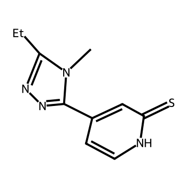 CCc1nnc(-c2cc[nH]c(=S)c2)n1C